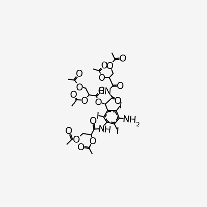 CC(=O)OCC(OC(C)=O)C(=O)NC(=O)C(OC(=O)C(COC(C)=O)OC(C)=O)c1c(I)c(N)c(I)c(NC(=O)C(COC(C)=O)OC(C)=O)c1I